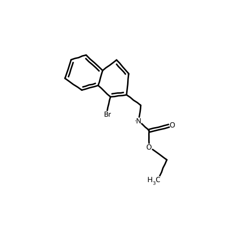 CCOC(=O)[N]Cc1ccc2ccccc2c1Br